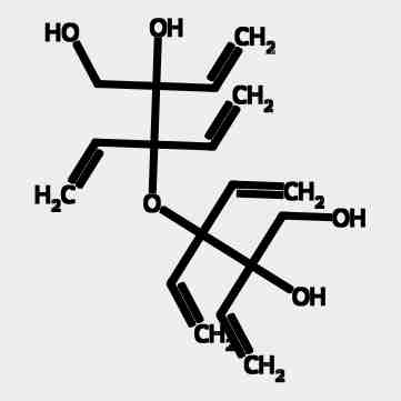 C=CC(O)(CO)C(C=C)(C=C)OC(C=C)(C=C)C(O)(C=C)CO